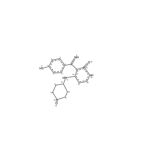 N=C(c1ccc(S)cc1)c1c(NC2CCC(=O)CC2)cc[nH]c1=O